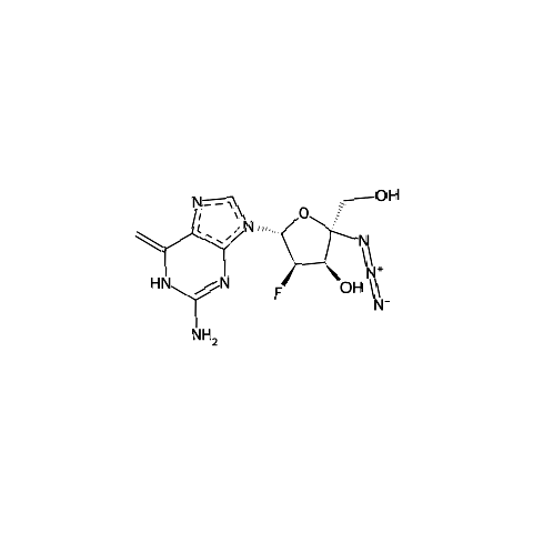 C=C1NC(N)=Nc2c1ncn2[C@@H]1O[C@@](CO)(N=[N+]=[N-])[C@@H](O)[C@H]1F